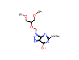 CC(=O)Nc1nc(O)c2nnn(COC(COC(C)C)COC(C)C)c2n1